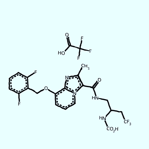 Cc1nc2c(OCc3c(F)cccc3F)cccn2c1C(=O)NCC(CC(F)(F)F)NC(=O)O.O=C(O)C(F)(F)F